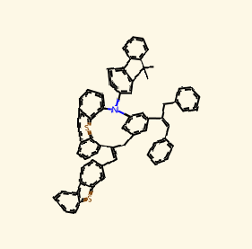 CC1(C)c2ccccc2-c2ccc(N3c4cc(cc(/C(=C\c5ccccc5)Cc5ccccc5)c4)C/C(=C/c4ccc5c(c4)sc4ccccc45)c4cccc5c4sc4c3cccc45)cc21